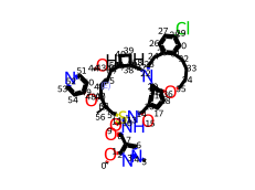 COc1nn(C)cc1C(=O)NS1(=O)=NC(=O)c2ccc3c(c2)N(CCc2ccc(Cl)cc2CCCCO3)C[C@@H]2CC[C@H]2[C@@H](OC)/C=C/[C@H](Oc2ccncc2)[C@H](C)C1